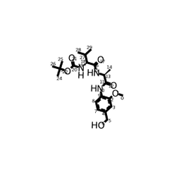 COc1cc(CO)ccc1NC(=O)[C@H](C)NC(=O)[C@@H](NC(=O)OC(C)(C)C)C(C)C